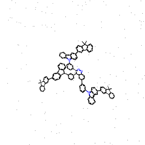 CC1(C)c2ccccc2-c2cc(-c3ccc4c(c3)-c3ccccc3C4c3cccc(-c4c(-c5cccc(-n6c7ccccc7c7cc(-c8ccc9c(c8)-c8ccccc8C9(C)C)ccc76)c5)nnc5ccc(-c6cccc(-n7c8ccccc8c8cc(-c9ccc%10c(c9)-c9ccccc9C%10(C)C)ccc87)c6)cc45)c3)ccc21